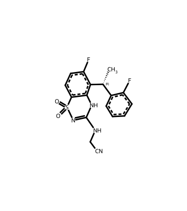 C[C@H](c1ccccc1F)c1c(F)ccc2c1NC(NCC#N)=NS2(=O)=O